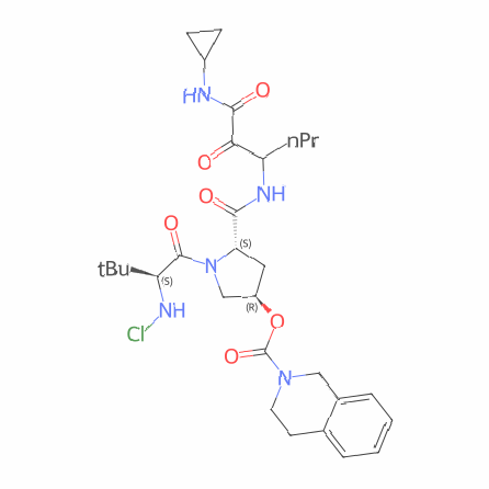 CCCC(NC(=O)[C@@H]1C[C@@H](OC(=O)N2CCc3ccccc3C2)CN1C(=O)[C@@H](NCl)C(C)(C)C)C(=O)C(=O)NC1CC1